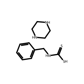 C1CNCCN1.S=C(S)NCc1ccccc1